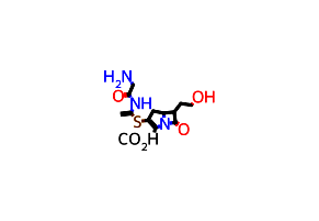 C=C(NC(=O)CN)SC1=C(C(=O)O)N2C(=O)C(CCO)C2C1